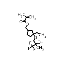 C=C(C)C(=O)OCC1CCC(CC)(OCC(C)(O)C(F)(F)F)C1